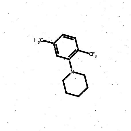 Cc1ccc(C(F)(F)F)c(N2CCCCC2)c1